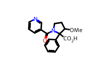 COC1CCN(C(=O)c2cccnc2)C1(C(=O)O)c1ccccc1